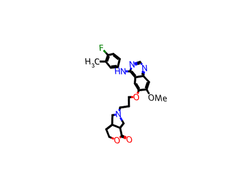 COc1cc2ncnc(Nc3ccc(F)c(C)c3)c2cc1OCCCN1CC2CCOC(=O)C2C1